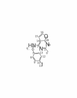 Cc1nc(N[C@@H](C)c2ccc(I)cc2)c2ccoc2n1